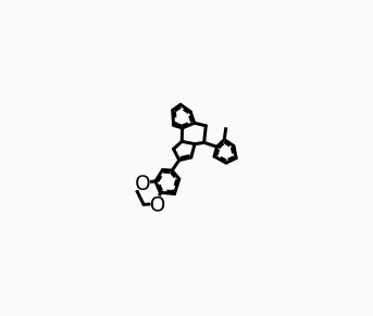 Cc1ccccc1C1Cc2ccccc2C2CC(c3ccc4c(c3)OCCO4)=CC12